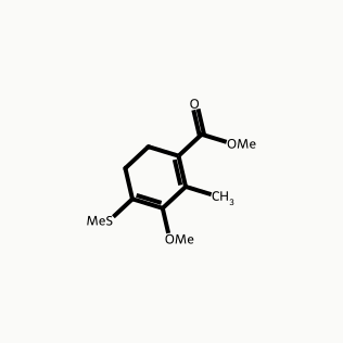 COC(=O)C1=C(C)C(OC)=C(SC)CC1